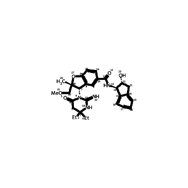 CCC1(CC)CC(=O)N([C@H]2c3cc(C(=O)N[C@@H]4c5ccccc5C[C@H]4O)ccc3O[C@@]2(C)COC)C(=N)N1